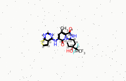 Cc1cc(Nc2ncnc3sccc23)c(=O)n2c1C(=O)N[C@]21CC[C@@](O)(C(F)(F)C(F)(F)F)CC1